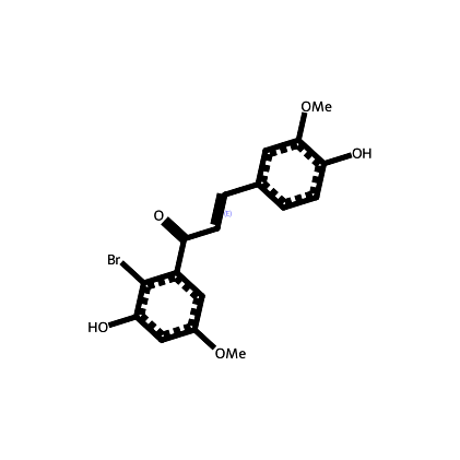 COc1cc(O)c(Br)c(C(=O)/C=C/c2ccc(O)c(OC)c2)c1